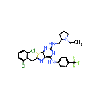 CCN1CCCC1CNc1nc(Nc2ccc(C(F)(F)F)cc2)c2nc(Cc3c(Cl)cccc3Cl)sc2n1